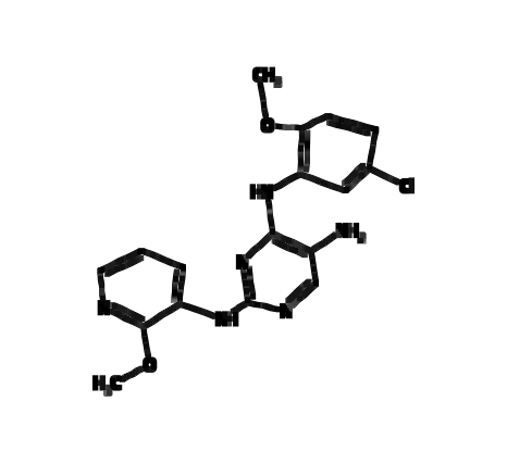 COc1ccc(Cl)cc1Nc1nc(Nc2cccnc2OC)ncc1N